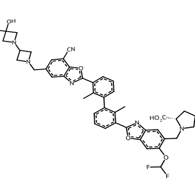 Cc1c(-c2nc3cc(CN4CCC[C@H]4C(=O)O)c(OC(F)F)cc3o2)cccc1-c1cccc(-c2nc3cc(CN4CC(N5CC(C)(O)C5)C4)cc(C#N)c3o2)c1C